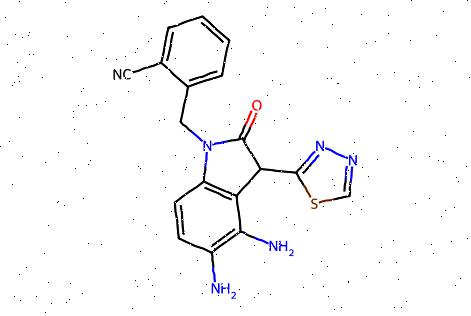 N#Cc1ccccc1CN1C(=O)C(c2nncs2)c2c1ccc(N)c2N